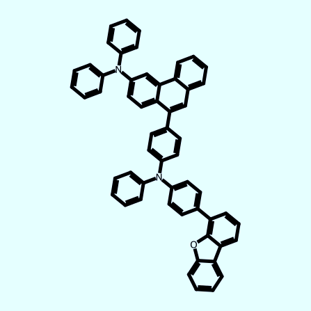 c1ccc(N(c2ccc(-c3cc4ccccc4c4cc(N(c5ccccc5)c5ccccc5)ccc34)cc2)c2ccc(-c3cccc4c3oc3ccccc34)cc2)cc1